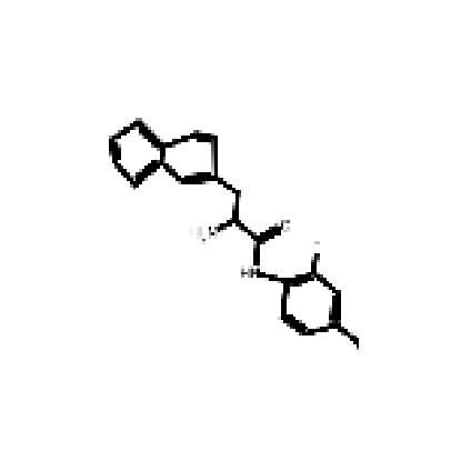 NC(Cc1ccc2ccccc2c1)C(=O)Nc1ccc(I)cc1F